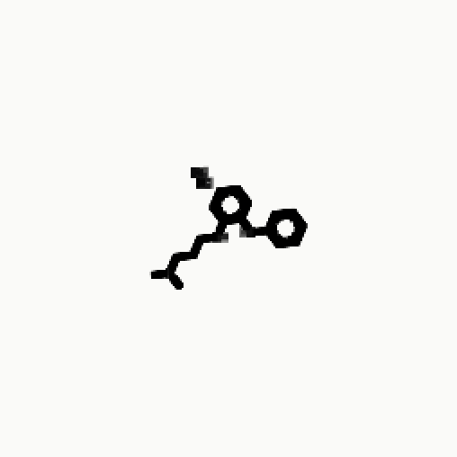 CN(C)CCCNc1ccccc1Nc1ccccc1.Cl.Cl